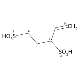 C=CC(CCS(=O)(=O)O)S(=O)(=O)O